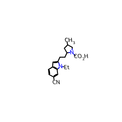 CCn1c(CCC2CC(C)CN2C(=O)O)cc2ccc(C#N)cc21